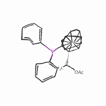 CC(=O)OC(C)[C@]12[CH]3[CH]4[CH]5[C]1(P(c1ccccc1)c1ccccc1)[Fe]45321678[CH]2[CH]1[CH]6[CH]7[CH]28